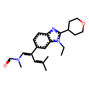 CCn1c(C2CCOCC2)nc2ccc(/C(C=C(C)C)=C/N(C)C=O)cc21